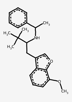 COc1cccc2c(CC(NC(C)c3ccccc3)C(C)(C)C)coc12